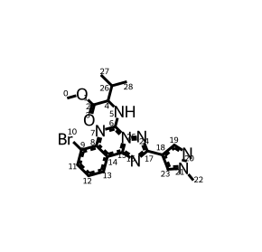 COC(=O)C(Nc1nc2c(Br)cccc2c2nc(-c3cnn(C)c3)nn12)C(C)C